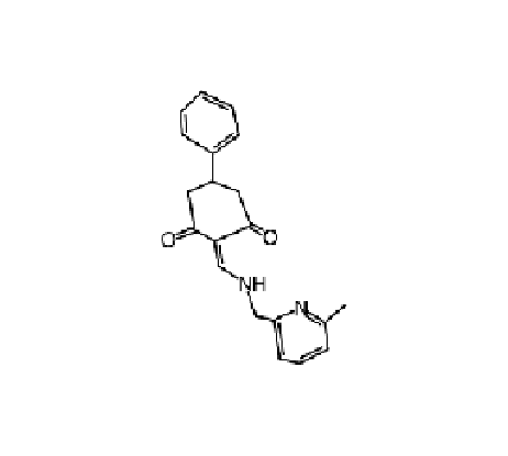 Cc1cccc(CNC=C2C(=O)CC(c3ccccc3)CC2=O)n1